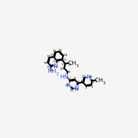 Cc1ccc(-c2cc(NCCC(C)c3cccc4ccc(N)nc34)ncn2)cn1